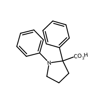 O=C(O)C1(c2ccccc2)CCCN1c1ccccc1